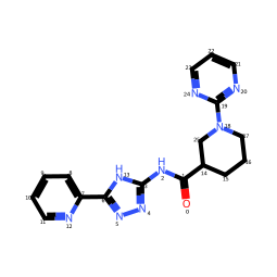 O=C(Nc1nnc(-c2ccccn2)[nH]1)C1CCCN(c2ncccn2)C1